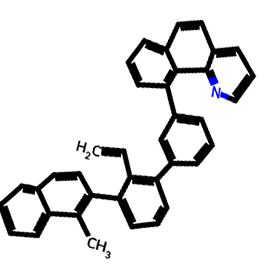 C=Cc1c(-c2cccc(-c3cccc4ccc5cccnc5c34)c2)cccc1-c1ccc2ccccc2c1C